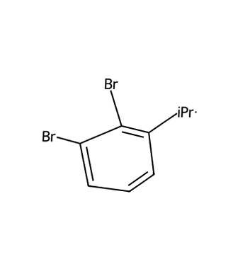 C[C](C)c1cccc(Br)c1Br